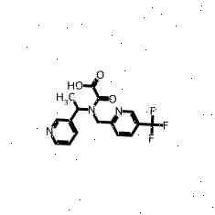 CC(c1cccnc1)N(Cc1ccc(C(F)(F)F)cn1)C(=O)C(=O)O